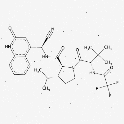 CC(C)[C@H]1CCN(C(=O)[C@@H](NC(=O)C(F)(F)F)C(C)(C)C)[C@@H]1C(=O)N[C@H](C#N)c1cc(=O)[nH]c2ccccc12